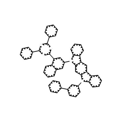 c1ccc(-c2cccc(-n3c4ccccc4c4cc5c6ccccc6n(-c6cc(-c7nc(-c8ccccc8)nc(-c8ccccc8)n7)c7ccccc7c6)c5cc43)c2)cc1